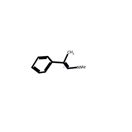 CN/C=C(\C)c1ccccc1